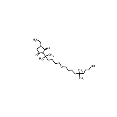 CCN1CC(=O)N(C(C)(C)CCCCOCCCCC(C)(C)CCCO)C1=O